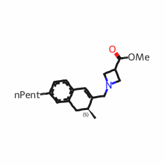 CCCCCc1ccc2c(c1)C[C@H](C)C(CN1CC(C(=O)OC)C1)=C2